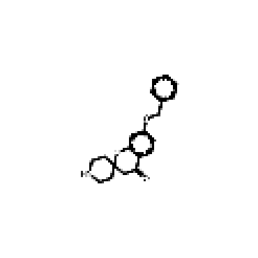 O=C1CC2(CCNCC2)Oc2cc(OCc3ccccc3)ccc21